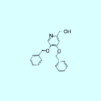 OCc1cc(OCc2ccccc2)c(OCc2ccccc2)cn1